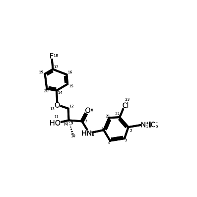 [C-]#[N+]c1ccc(NC(=O)[C@@](C)(O)COc2ccc(F)cc2)cc1Cl